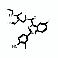 CCN/C(C)=C(\C=N)CN(C)C(=O)c1nc(-c2ccc(O)c(C)c2)nc2ccc(Cl)cc12